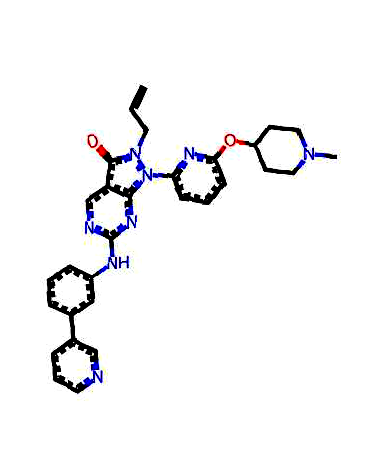 C=CCn1c(=O)c2cnc(Nc3cccc(-c4cccnc4)c3)nc2n1-c1cccc(OC2CCN(C)CC2)n1